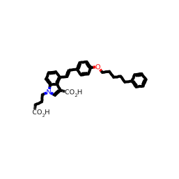 O=C(O)CCCn1cc(C(=O)O)c2c(/C=C/c3ccc(OCCCCCc4ccccc4)cc3)cccc21